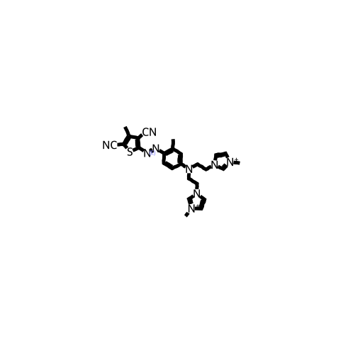 Cc1cc(N(CCn2cc[n+](C)c2)CCn2cc[n+](C)c2)ccc1/N=N/c1sc(C#N)c(C)c1C#N